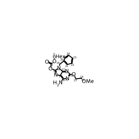 CCCCCCOC(=O)Oc1nc2c(N)nc(OCCOC)nc2n1Cc1ccccc1